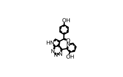 O=C(c1ccc(O)cc1)c1c[nH]c2nnnc(-c3ncccc3O)c12